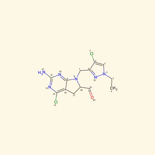 CCn1cc(Cl)c(CN2c3nc(N)nc(Cl)c3CC2C=O)n1